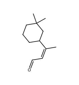 C/C(=C/C=O)C1CCCC(C)(C)C1